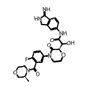 C[C@H]1COCCN1C(=O)c1cc(N2CCO[C@H](C(O)C(=O)Nc3ccc4c(c3)CNC4=N)C2=O)ccc1F